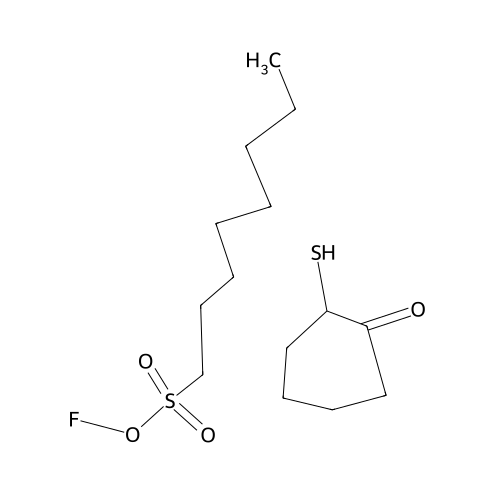 CCCCCCCCS(=O)(=O)OF.O=C1CCCCC1S